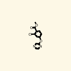 COC(=O)c1ccc(Oc2cnccn2)cc1Cl